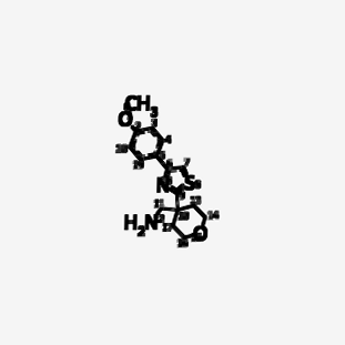 COc1ccc(-c2csc(C3(CN)CCOCC3)n2)cc1